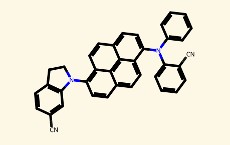 N#Cc1ccc2c(c1)N(c1ccc3ccc4c(N(c5ccccc5)c5ccccc5C#N)ccc5ccc1c3c54)CC2